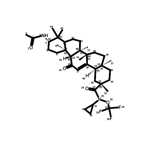 CC(=O)N[C@H]1CC[C@@]2(C)C(CC[C@]3(C)[C@@H]2C(=O)C=C2[C@@H]4C[C@@](C)(C(=O)N(OC(F)(F)F)C5CC5)CC[C@]4(C)CC[C@]23C)C1(C)C